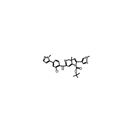 Cn1cc(C2=CC3(C)CN=C(Nc4ccc(-c5ccnn5C)cc4Cl)C=C3N2C(=O)OC(C)(C)C)cn1